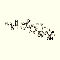 CC(=O)NC[C@H]1CN(c2ccc3c(c2)CCCc2c(-c4cocc4O)noc2-3)C(=O)O1